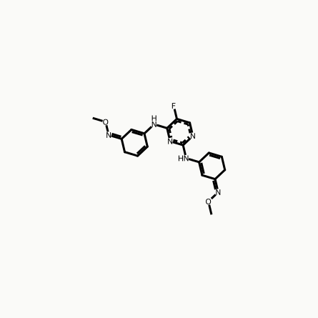 CON=C1C=C(Nc2ncc(F)c(NC3=CC(=NOC)CC=C3)n2)C=CC1